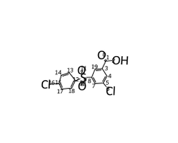 O=C(O)c1cc(Cl)cc(S(=O)(=O)c2ccc(Cl)cc2)c1